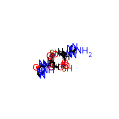 Nc1ncnc2c1ncn2[C@@H]1C[C@@H]2CO[P@](=O)(S)O[C@@H]3C[C@@H](CO[P@](=O)(S)OC[C@H]21)O[C@H]3n1cnc2c(=O)n3ccnc3[nH]c21